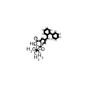 CC(C)(C)OC(=O)N1CC(Cc2ccccc2-c2ccccc2)C[C@H]1C(=O)O